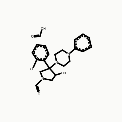 O=CN1CC(O)C(c2ccccc2Cl)(N2CCN(c3ccccc3)CC2)C1.O=CO